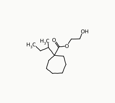 CCC(C)C1(C(=O)OCCO)CCCCCC1